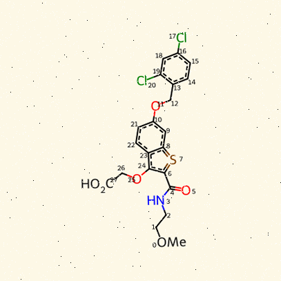 COCCNC(=O)c1sc2cc(OCc3ccc(Cl)cc3Cl)ccc2c1OCC(=O)O